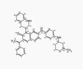 C=C(c1ccccc1)c1cc2cnc(Nc3ccc(NC4CCCN(C)C4)cc3)nc2n(C2CNc3ccccc3C2)c1=O